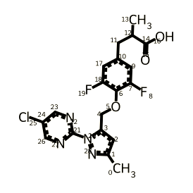 Cc1cc(COc2c(F)cc(CC(C)C(=O)O)cc2F)n(-c2ncc(Cl)cn2)n1